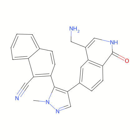 Cn1ncc(-c2ccc3c(=O)[nH]cc(CN)c3c2)c1-c1ccc2ccccc2c1C#N